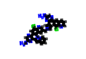 Nc1cnc(-c2cc(Cl)c3ncccc3c2)c(-c2ccn(Cc3cnc4c(Cl)cc(-c5ncc(N)nc5-c5cc6ccccn6n5)cc4c3)c2)n1